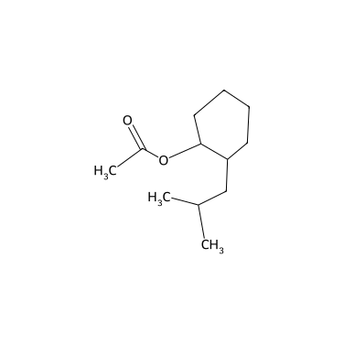 CC(=O)OC1CCCCC1CC(C)C